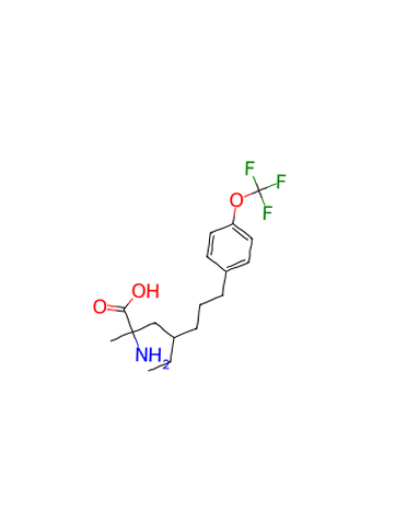 CCC(CCCc1ccc(OC(F)(F)F)cc1)CC(C)(N)C(=O)O